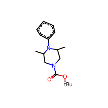 CC1CN(C(=O)OC(C)(C)C)CC(C)N1c1ccccc1